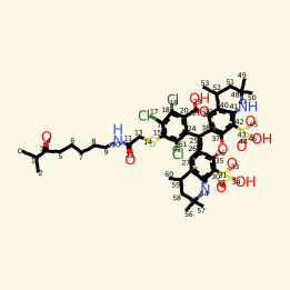 CC(C)C(=O)CCCCCNC(=O)CSc1c(Cl)c(Cl)c(C(=O)O)c(C2=c3cc4c(c(S(=O)(=O)O)c3Oc3c2cc2c(c3S(=O)(=O)O)NC(C)(C)CC2C)=NC(C)(C)CC4C)c1Cl